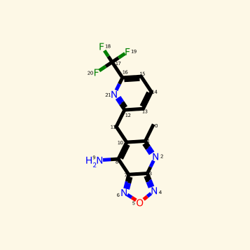 Cc1nc2nonc2c(N)c1Cc1cccc(C(F)(F)F)n1